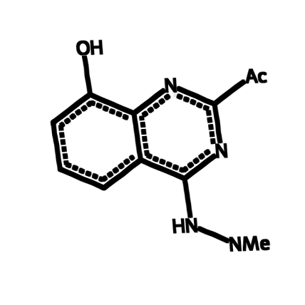 CNNc1nc(C(C)=O)nc2c(O)cccc12